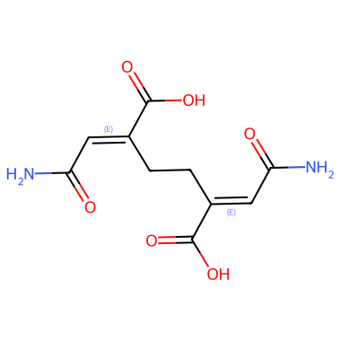 NC(=O)/C=C(\CC/C(=C\C(N)=O)C(=O)O)C(=O)O